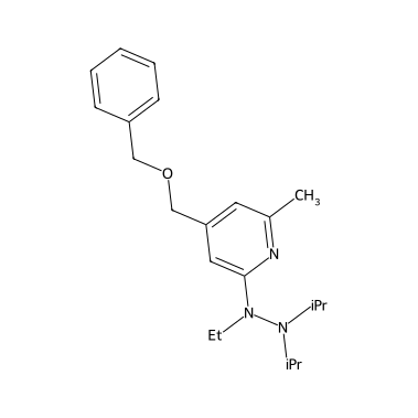 CCN(c1cc(COCc2ccccc2)cc(C)n1)N(C(C)C)C(C)C